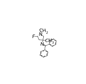 C=NCC(C)(CCF)N=C(c1ccccc1)c1ccccc1